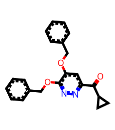 O=C(c1cc(OCc2ccccc2)c(OCc2ccccc2)nn1)C1CC1